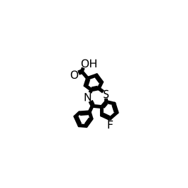 O=C(O)c1ccc2c(c1)N=C(c1ccccc1)c1cc(F)ccc1S2